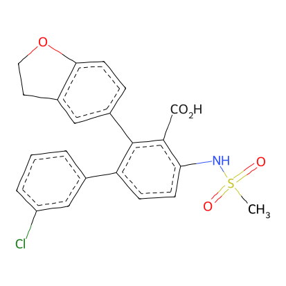 CS(=O)(=O)Nc1ccc(-c2cccc(Cl)c2)c(-c2ccc3c(c2)CCO3)c1C(=O)O